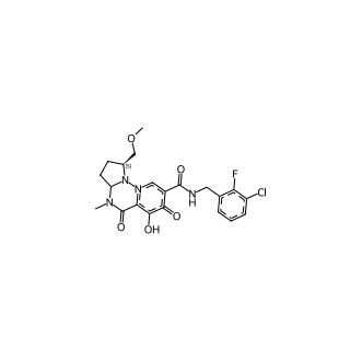 COC[C@@H]1CCC2N(C)C(=O)c3c(O)c(=O)c(C(=O)NCc4cccc(Cl)c4F)cn3N21